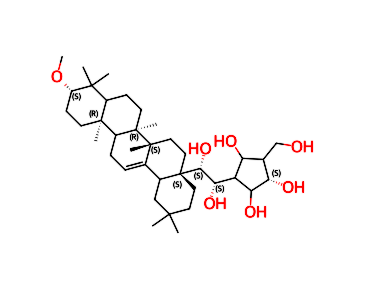 CO[C@H]1CC[C@@]2(C)C(CC[C@]3(C)C2CC=C2C4CC(C)(C)CC[C@]4([C@H](O)[C@@H](O)C4C(O)C(CO)[C@H](O)C4O)CC[C@]23C)C1(C)C